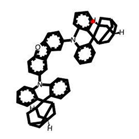 c1ccc2c(c1)N(c1ccc3oc4ccc(N5c6ccccc6C6(c7ccccc75)C5CC7C[C@H](C5)C[C@H]6C7)cc4c3c1)c1ccccc1C21C2CC3C[C@H](C2)C[C@H]1C3